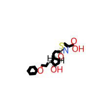 O=C(O)c1csc([C@H]2CC[C@@H]3[C@@H](CCCOc4ccccc4)[C@H](O)C[C@@H]3O2)n1